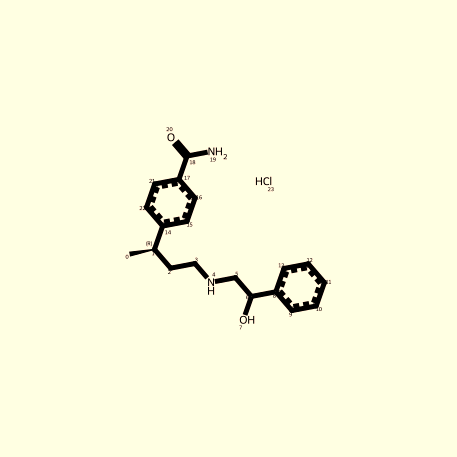 C[C@H](CCNCC(O)c1ccccc1)c1ccc(C(N)=O)cc1.Cl